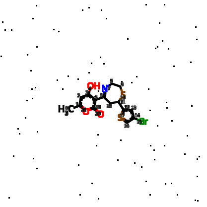 Cc1cc(O)c(C2=NCCSC(c3cc(Br)cs3)C2)c(=O)o1